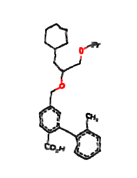 Cc1ccccc1-c1cc(COC(COC(C)C)CC2CCCCC2)ccc1C(=O)O